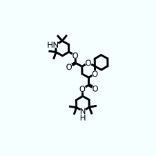 CC1(C)CC(OC(=O)C2CC(C(=O)OC3CC(C)(C)NC(C)(C)C3)OC3(CCCCC3)O2)CC(C)(C)N1